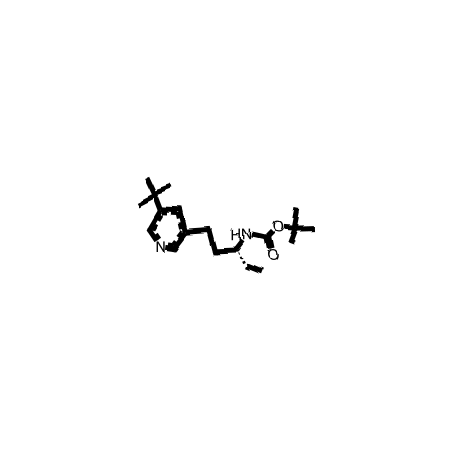 CC[C@H](CCc1cncc(C(C)(C)C)c1)NC(=O)OC(C)(C)C